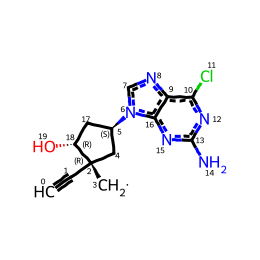 C#C[C@@]1([CH2])C[C@H](n2cnc3c(Cl)nc(N)nc32)C[C@H]1O